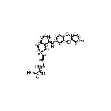 Cc1ccc(Oc2ccc(Nc3ncnc4ccc(C#CCNC(=O)C(C)O)cc34)cc2Cl)cn1